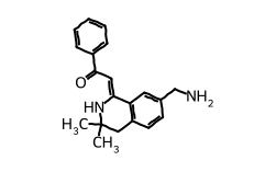 CC1(C)Cc2ccc(CN)cc2C(=CC(=O)c2ccccc2)N1